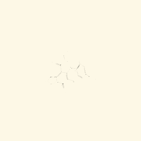 Bc1ccc(Nc2c(C(=O)OCC)c3n(c(=O)c2C)CCC3)c(F)c1